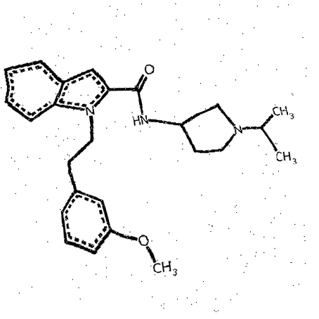 COc1cccc(CCn2c(C(=O)NC3CCN(C(C)C)CC3)cc3ccccc32)c1